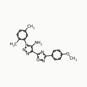 COc1ccc(-c2noc(-c3nnn(-c4cc(C)ccc4C)c3N)n2)cc1